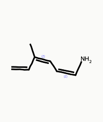 C=C/C(C)=C\C=C/N